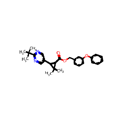 CC(C)(C)c1ncc(C2C(C(=O)OCc3cccc(Oc4ccccc4)c3)C2(C)C)cn1